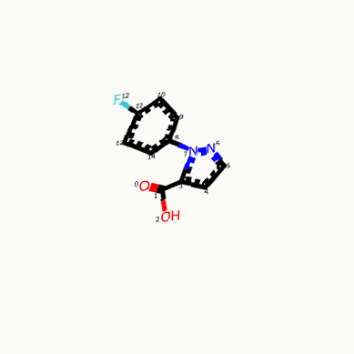 O=C(O)c1ccnn1-c1ccc(F)cc1